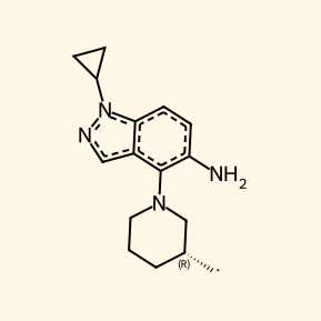 [CH2][C@@H]1CCCN(c2c(N)ccc3c2cnn3C2CC2)C1